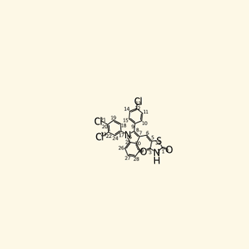 O=C1NC(=O)/C(=C\c2c(-c3ccc(Cl)cc3)n(-c3ccc(Cl)c(Cl)c3)c3ccccc23)S1